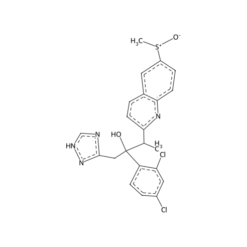 CC(c1ccc2cc([S+](C)[O-])ccc2n1)C(O)(Cc1nc[nH]n1)c1ccc(Cl)cc1Cl